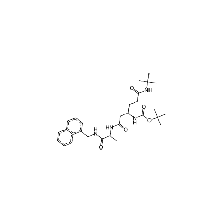 CC(NC(=O)CC(CCC(=O)NC(C)(C)C)NC(=O)OC(C)(C)C)C(=O)NCc1cccc2ccccc12